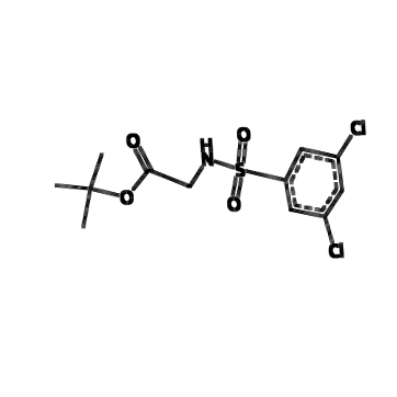 CC(C)(C)OC(=O)CNS(=O)(=O)c1cc(Cl)cc(Cl)c1